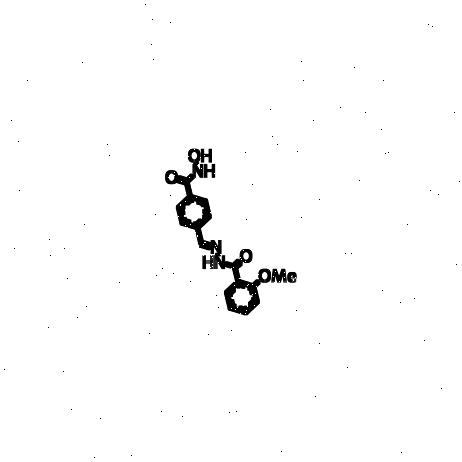 COc1ccccc1C(=O)NN=Cc1ccc(C(=O)NO)cc1